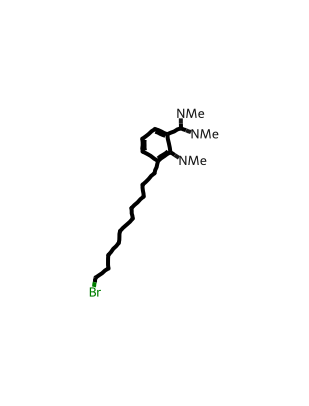 CNc1c(CCCCCCCCCCBr)cccc1C(NC)NC